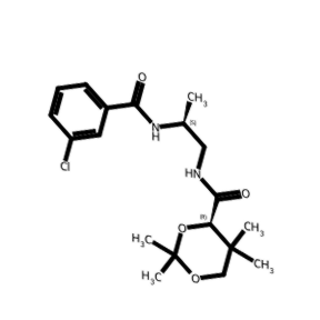 C[C@@H](CNC(=O)[C@@H]1OC(C)(C)OCC1(C)C)NC(=O)c1cccc(Cl)c1